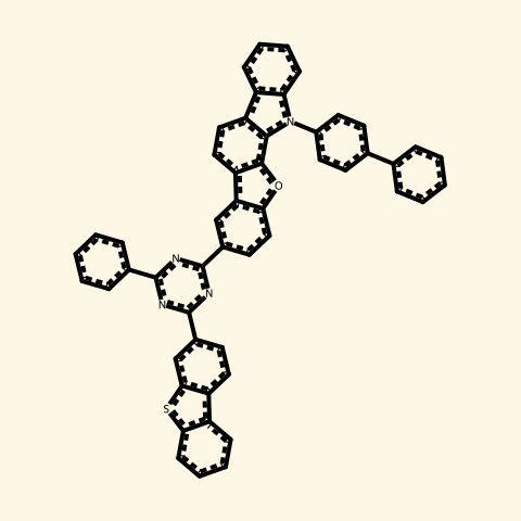 c1ccc(-c2ccc(-n3c4ccccc4c4ccc5c6cc(-c7nc(-c8ccccc8)nc(-c8ccc9c(c8)sc8ccccc89)n7)ccc6oc5c43)cc2)cc1